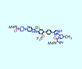 CNC(=O)N1CCN(c2ccc(C(=O)Nc3cc(OC(F)(F)F)c(-c4ccc(-c5c[nH]c(C6CC(C)CN6C(=O)[C@@H](NC)C(C)C)n5)cc4)cc3Cl)cn2)CC1